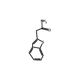 NC(=O)Cc1cc2ccccc2s1